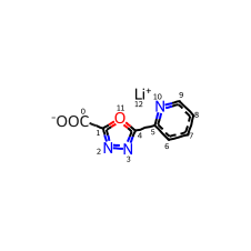 O=C([O-])c1nnc(-c2ccccn2)o1.[Li+]